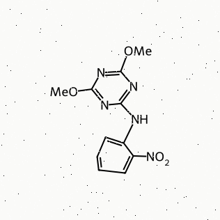 COc1nc(Nc2ccccc2[N+](=O)[O-])nc(OC)n1